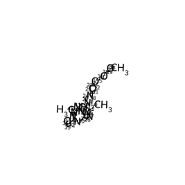 CCCC(C(=O)N1CCN(c2ccc(OCCOCCOC)cc2)CC1)n1ncc2cnc(-c3ccco3)nn(C)c(N)nc21